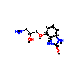 NCC(O)COc1cccc2[nH]c(=O)[nH]c12